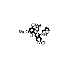 COc1cc(OC)c(Cl)c(-c2cc3cnc(Cl)cc3c(NCC3CCCO3)n2)c1Cl